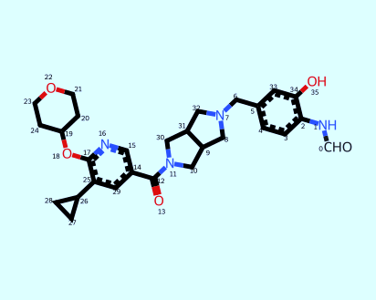 O=CNc1ccc(CN2CC3CN(C(=O)c4cnc(OC5CCOCC5)c(C5CC5)c4)CC3C2)cc1O